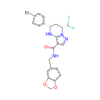 CCc1ccc([C@@H]2C[C@H](C(F)F)n3ncc(C(=O)NCc4ccc5c(c4)OCO5)c3N2)cc1